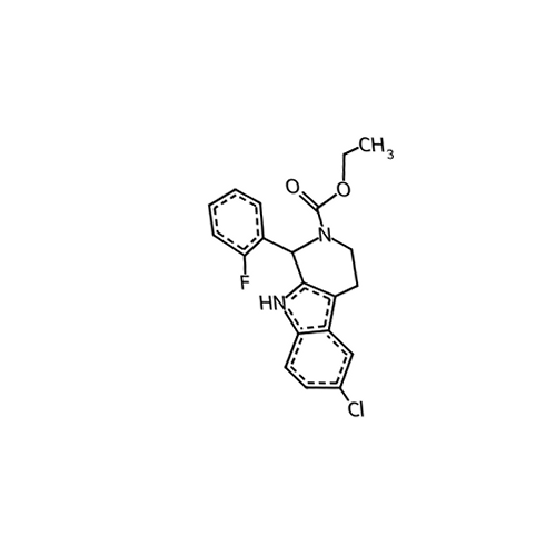 CCOC(=O)N1CCc2c([nH]c3ccc(Cl)cc23)C1c1ccccc1F